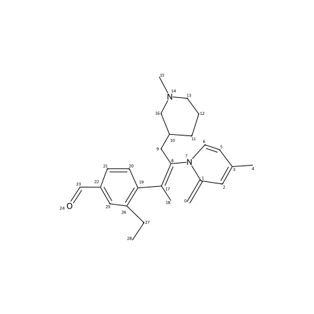 C=C1C=C(C)C=CN1/C(CC1CCCN(C)C1)=C(\C)c1ccc(C=O)cc1CC